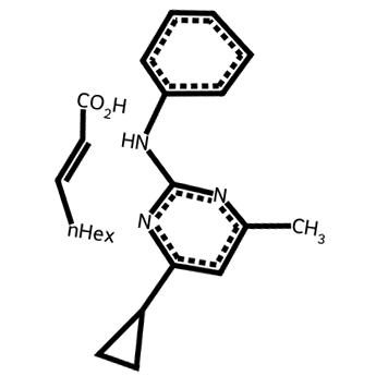 CCCCCC/C=C/C(=O)O.Cc1cc(C2CC2)nc(Nc2ccccc2)n1